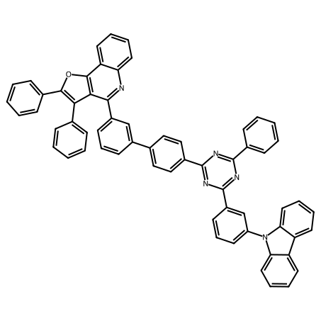 c1ccc(-c2nc(-c3ccc(-c4cccc(-c5nc6ccccc6c6oc(-c7ccccc7)c(-c7ccccc7)c56)c4)cc3)nc(-c3cccc(-n4c5ccccc5c5ccccc54)c3)n2)cc1